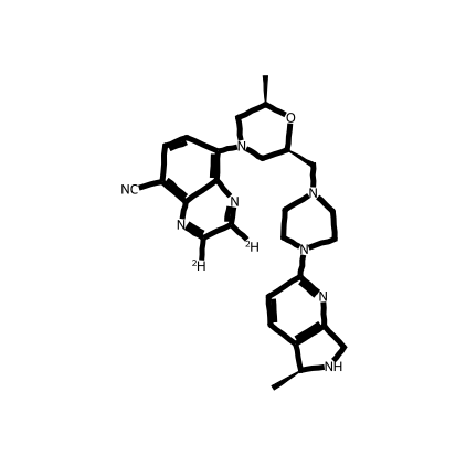 [2H]c1nc2c(C#N)ccc(N3C[C@H](CN4CCN(c5ccc6c(n5)CN[C@H]6C)CC4)O[C@H](C)C3)c2nc1[2H]